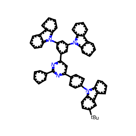 CC(C)(C)c1ccc2c(c1)c1ccccc1n2-c1ccc(-c2cc(-c3cc(-n4c5ccccc5c5ccccc54)cc(-n4c5ccccc5c5ccccc54)c3)nc(-c3ccccc3)n2)cc1